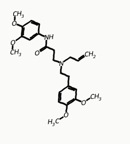 C=CCN(CCC(=O)Nc1ccc(OC)c(OC)c1)CCc1ccc(OC)c(OC)c1